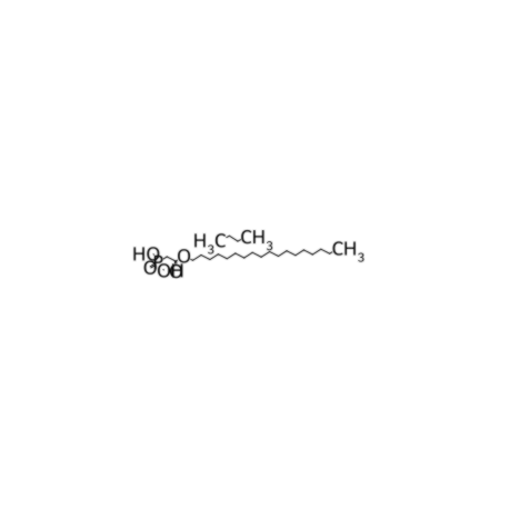 CCCC.CCCCCCCCCCCCCCCCCCOC(=O)CP(=O)(O)O